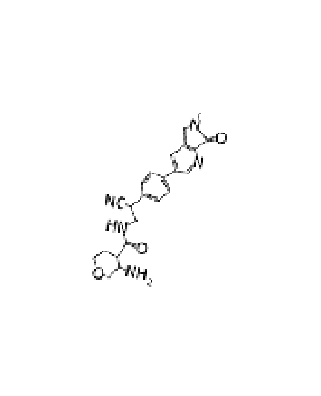 CN1Cc2cc(-c3ccc(C(C#N)CNC(=O)C4CCOCC4N)cc3)cnc2C1=O